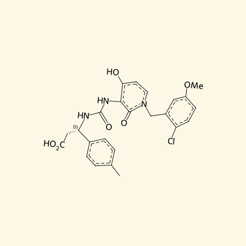 COc1ccc(Cl)c(Cn2ccc(O)c(NC(=O)N[C@@H](CC(=O)O)c3ccc(C)cc3)c2=O)c1